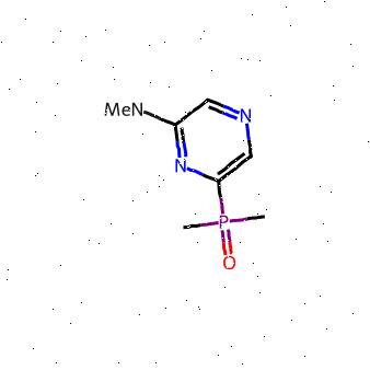 CNc1cncc(P(C)(C)=O)n1